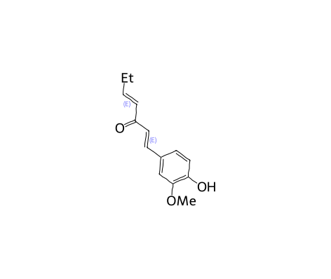 CC/C=C/C(=O)/C=C/c1ccc(O)c(OC)c1